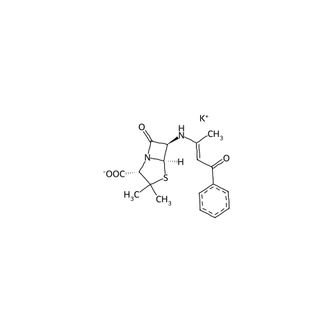 CC(=CC(=O)c1ccccc1)N[C@@H]1C(=O)N2[C@@H]1SC(C)(C)[C@@H]2C(=O)[O-].[K+]